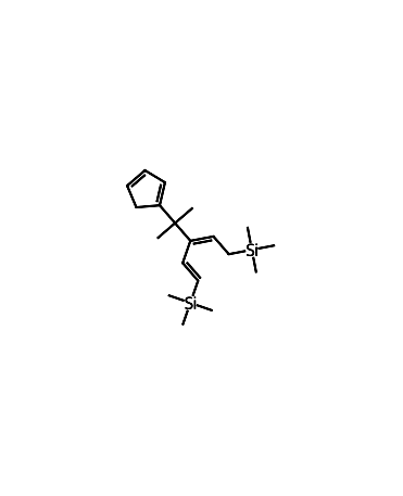 CC(C)(C(C=C[Si](C)(C)C)=CC[Si](C)(C)C)C1=CC=CC1